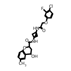 Cc1ccc2c(c1)C(O)CC(C(=O)NC13CC(NC(=O)COc4ccc(Cl)c(F)c4)(C1)C3)O2